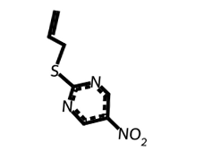 C=CCSc1ncc([N+](=O)[O-])cn1